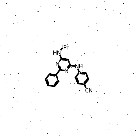 CC(C)Nc1cc(Nc2ccc(C#N)cc2)nc(-c2ccccc2)n1